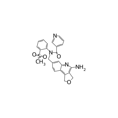 CS(=O)(=O)c1ccccc1N(Cc1ccc2c3c(c(N)nc2c1)COC3)C(=O)c1cccnc1